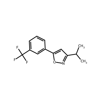 CC(C)c1cc(-c2cccc(C(F)(F)F)c2)on1